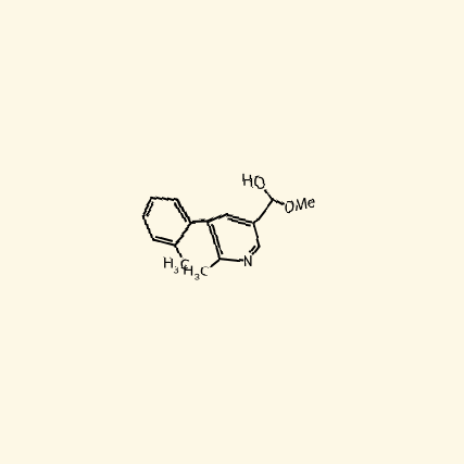 COC(O)c1cnc(C)c(-c2ccccc2C)c1